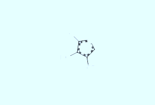 Cc1c(C(F)(F)F)csc1C(F)(F)F